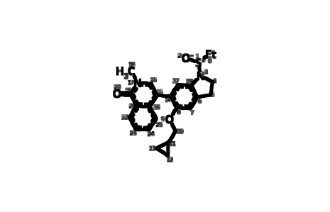 CC[S+]([O-])N1CCc2cc(OCC3CC3)c(-c3cn(C)c(=O)c4ccccc34)cc21